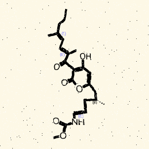 CCC/C(C)=C/C=C(\C)C(=O)c1c(O)cc(C[C@H](C)C/C=C/NC(=O)OC)oc1=O